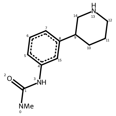 CNC(=O)Nc1cccc(C2CCCNC2)c1